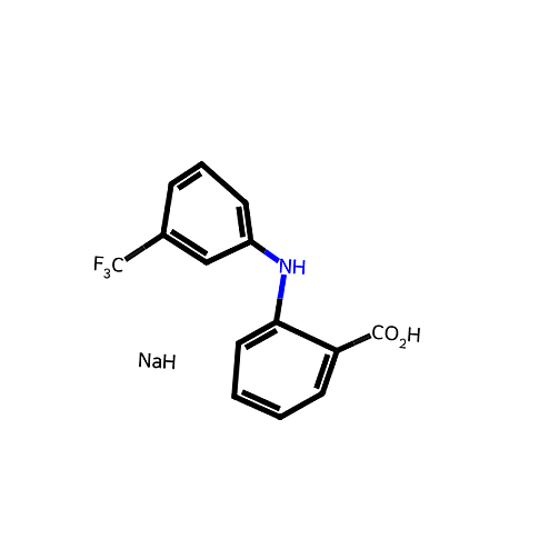 O=C(O)c1ccccc1Nc1cccc(C(F)(F)F)c1.[NaH]